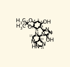 CC1(C)Oc2cc(O)c(-c3nnc(O)n3-c3ncnc4[nH]cnc34)cc2O1